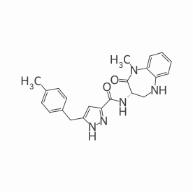 Cc1ccc(Cc2cc(C(=O)N[C@H]3CNc4ccccc4N(C)C3=O)n[nH]2)cc1